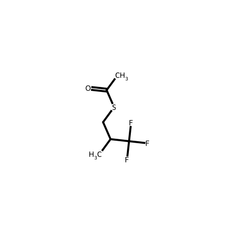 CC(=O)SCC(C)C(F)(F)F